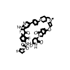 CN(CC1CCN(c2ccc(-c3cnc4[nH]cc(C(=O)c5c(F)ccc(NS(=O)(=O)N6CC[C@@H](F)C6)c5F)c4c3)cc2)CC1)[C@H]1C[C@H](Oc2ccc3c(c2)CN(C2CCC(=O)NC2=O)C3=O)C1